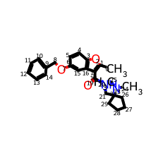 Cc1oc2ccc(OCc3ccccc3)cc2c1C(=O)NCC1(N(C)C)CCCC1